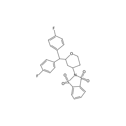 O=S1(=O)c2ccccc2S(=O)(=O)N1C1CCOC(C(c2ccc(F)cc2)c2ccc(F)cc2)C1